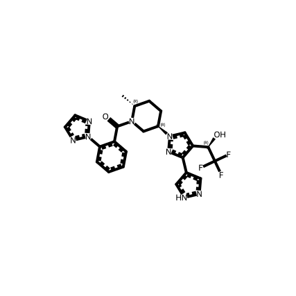 C[C@@H]1CC[C@@H](n2cc([C@@H](O)C(F)(F)F)c(-c3cn[nH]c3)n2)CN1C(=O)c1ccccc1-n1nccn1